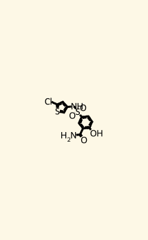 NC(=O)c1cc(S(=O)(=O)Nc2csc(Cl)c2)ccc1O